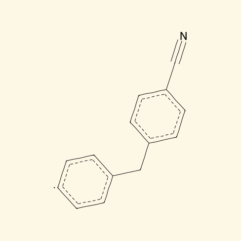 N#Cc1ccc(Cc2cc[c]cc2)cc1